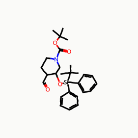 CC(C)(C)OC(=O)N1CCC(C=O)C(O[Si](c2ccccc2)(c2ccccc2)C(C)(C)C)C1